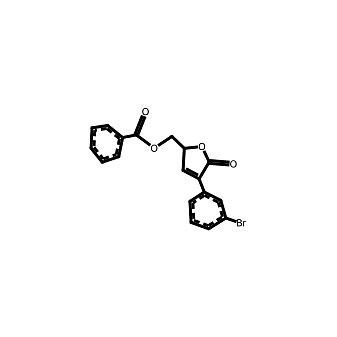 O=C1OC(COC(=O)c2ccccc2)C=C1c1cccc(Br)c1